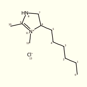 CCCCCCC1CNC(C)=[N+]1C.[Cl-]